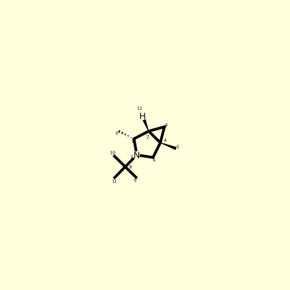 C[C@@H]1[C@@H]2C[C@]2(C)CN1C(C)(C)C